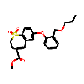 CCCOCc1ccccc1Oc1ccc2c(c1)C=C(C(=O)OC)CCS2(=O)=O